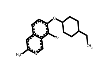 CCC1CCC(Oc2ccc3cc(C)ncc3c2Br)CC1